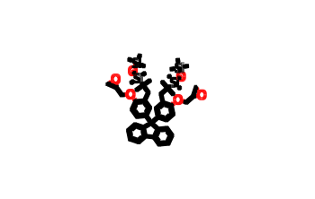 CC(C)(Cc1cc(C2(c3ccc(OCC4CO4)c(CC(C)(C)[Si](C)(C)O[Si](C)(C)C)c3)c3ccccc3-c3ccccc32)ccc1OCC1CO1)[Si](C)(C)O[Si](C)(C)C